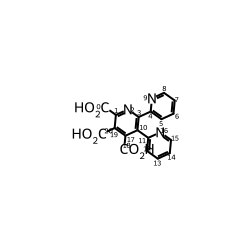 O=C(O)c1nc(-c2ccccn2)c(-c2ccccn2)c(C(=O)O)c1C(=O)O